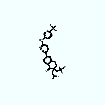 O=C(O)CC1(CC(F)(F)F)CCc2cc(-c3ccc(Nc4ccc(C(F)(F)F)nc4)nn3)ccc2C1=O